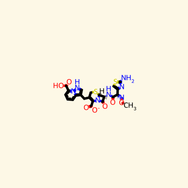 CO/N=C(\C(=O)N[C@@H]1C(=O)N2C(C(=O)[O-])=C(Cc3c[nH][n+]4c(C(=O)O)cccc34)CS[C@@H]12)c1csc(N)n1